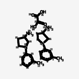 Cc1cccc(N2CCC(N)C2)c1.Cc1cccc(N2CCC(N)C2)c1.O=C(O)C(=O)O